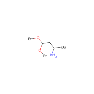 CCOC(CC(N)C(C)CC)OCC